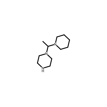 C[C](N1CCCCC1)N1CCNCC1